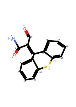 NC(=O)C(C=O)=C1c2ccccc2Sc2ccccc21